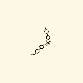 CC=CC1CCC(c2ccc(COC(F)(F)C(F)c3ccc(C4CCC(C)CC4)cc3)cc2)CC1